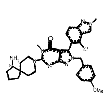 COc1ccc(Cn2nc3nc(N4CCC5(CCC[C@H]5N)CC4)n(C)c(=O)c3c2-c2ccc3nn(C)cc3c2Cl)cc1